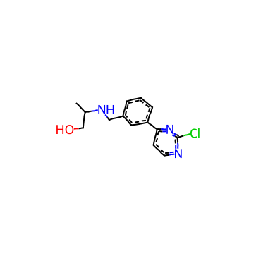 CC(CO)NCc1cccc(-c2ccnc(Cl)n2)c1